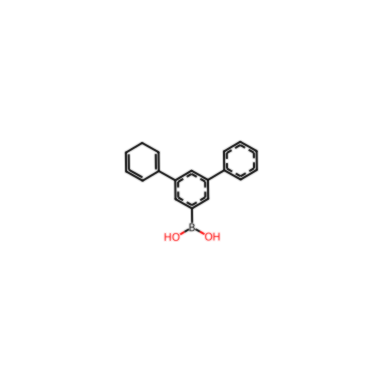 OB(O)c1cc(C2=CCC=C=C2)cc(-c2ccccc2)c1